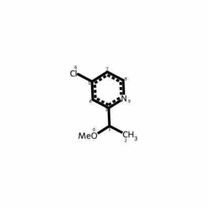 COC(C)c1cc(Cl)ccn1